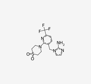 Nc1nccn1Cc1ccc(C(F)(F)F)nc1N1CCS(=O)(=O)CC1